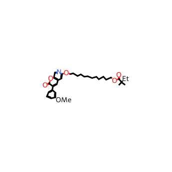 CCC(C)(C)C(=O)OCCCCCCCCCCCCOc1cc2cc(-c3cccc(OC)c3)c(=O)oc2cn1